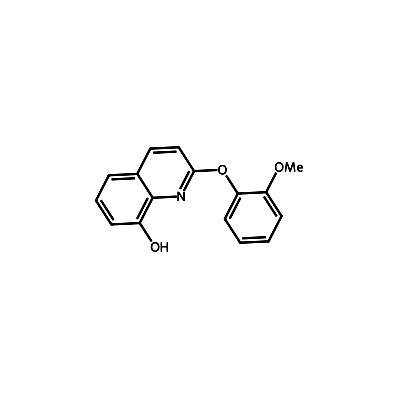 COc1ccccc1Oc1ccc2cccc(O)c2n1